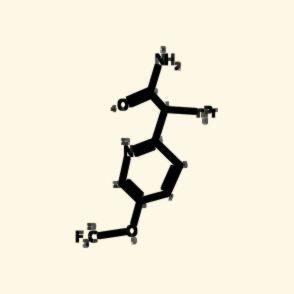 CCCC(C(N)=O)c1ccc(OC(F)(F)F)cn1